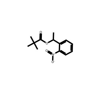 CC(OC(=O)C(C)(C)C)c1ccccc1[N+](=O)[O-]